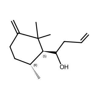 C=CCC(O)[C@H]1[C@H](C)CCC(=C)C1(C)C